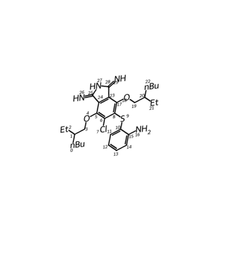 CCCCC(CC)COc1c(Cl)c(Sc2ccccc2N)c(OCC(CC)CCCC)c2c1C(=N)NC2=N